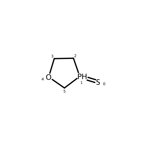 S=[PH]1CCOC1